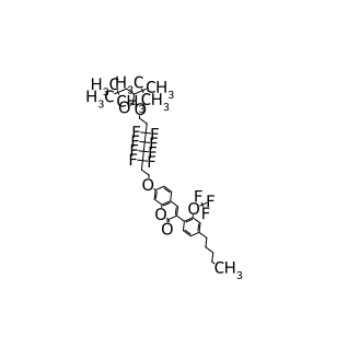 CCCCCc1ccc(-c2cc3ccc(OCCC(F)(F)C(F)(F)C(F)(F)C(F)(F)CCOC(=O)C(CC(C)(C)C)C(C)(C)C)cc3oc2=O)c(OC(F)(F)F)c1